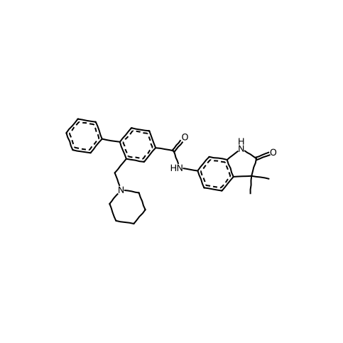 CC1(C)C(=O)Nc2cc(NC(=O)c3ccc(-c4ccccc4)c(CN4CCCCC4)c3)ccc21